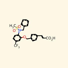 CS(=O)(=O)N(Cc1ccccc1)c1ccc(C(F)(F)F)cc1OCc1ccc(C=CC(=O)O)cc1